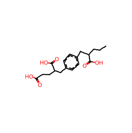 CCCC(Cc1ccc(CC(CCC(=O)O)C(=O)O)cc1)C(=O)O